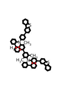 Cc1cc(-c2cc(C)c(N(c3ccc(-c4ccc5sc6ccccc6c5c4)cc3)c3ccccc3-c3ccccc3)c(C)c2)cc(C)c1N(c1ccc(-c2ccc3sc4ccccc4c3c2)cc1)c1ccccc1-c1ccccc1